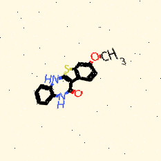 COc1ccc2c3c(sc2c1)Nc1ccccc1NC3=O